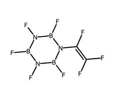 FB1N(F)B(F)N(C(F)=C(F)F)B(F)N1F